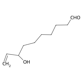 C=CC(O)CCCCCCC=O